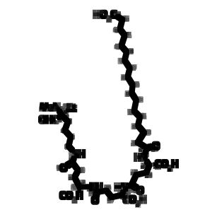 CC[C@@](C=O)(CCCCNC(=O)CC[C@H](NC(=O)CC[C@H](NC(=O)CC[C@H](NC(=O)CCCCCCCCCCCCCCCCC(=O)O)C(=O)O)C(=O)O)C(=O)O)NC